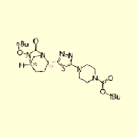 CCCCON1C(=O)N2C[C@@H]1CC[C@H]2c1nnc(N2CCN(C(=O)OC(C)(C)C)CC2)s1